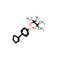 CC1(C)OB(c2ccc(C3=CCCC3)cc2)OC1(C)C